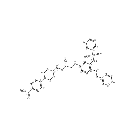 O=C(O)c1ccc(C2CCC(NC[C@H](O)COc3ccc(OCc4ccccc4)c(NS(=O)(=O)c4ccccc4)c3)CC2)cc1